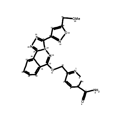 C/N=C(\C=C/C(C)C(N)=O)COc1nn2c(-c3cc(COC)on3)nnc2c2ccccc12